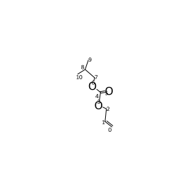 C=CCOC(=O)OCC(C)C